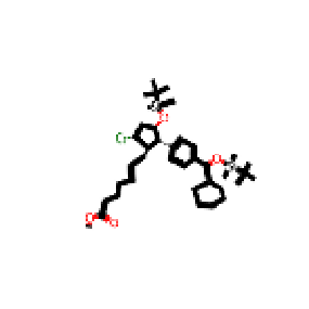 COC(=O)CCCC=CC[C@@H]1[C@@H](c2ccc(C(O[Si](C)(C)C(C)(C)C)C3CCCCC3)cc2)[C@H](O[Si](C)(C)C(C)(C)C)C[C@H]1Cl